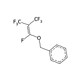 FC(OCc1ccccc1)=C(C(F)(F)F)C(F)(F)F